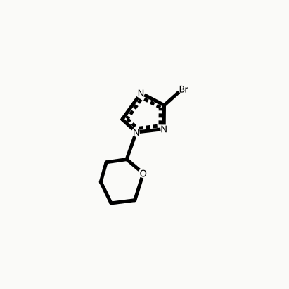 Brc1ncn(C2CCCCO2)n1